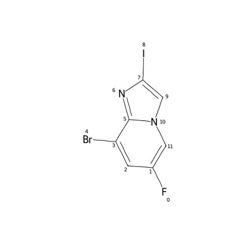 Fc1cc(Br)c2nc(I)cn2c1